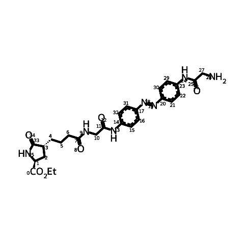 CCOC(=O)[C@@H]1C[C@@H](CCCC(=O)NCC(=O)Nc2ccc(/N=N/c3ccc(NC(=O)CN)cc3)cc2)C(=O)N1